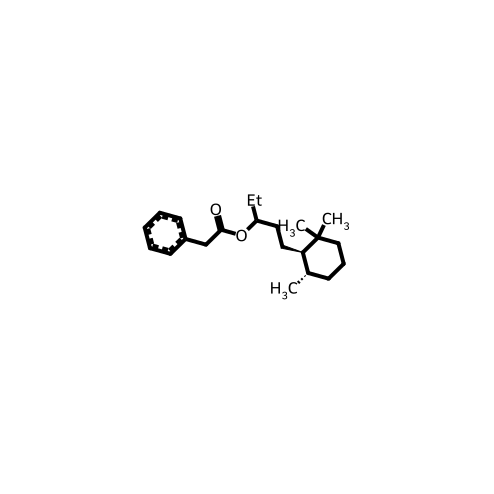 CCC(CC[C@@H]1[C@@H](C)CCCC1(C)C)OC(=O)Cc1ccccc1